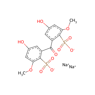 COc1cc(O)cc(C(=O)c2cc(O)cc(OC)c2S(=O)(=O)[O-])c1S(=O)(=O)[O-].[Na+].[Na+]